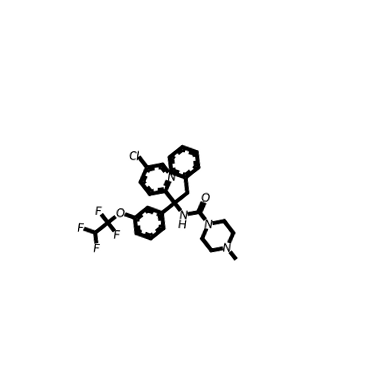 CN1CCN(C(=O)NC(Cc2ccccc2)(c2cccc(OC(F)(F)C(F)F)c2)c2ccc(Cl)cn2)CC1